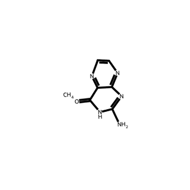 C.Nc1nc2nccnc2c(=O)[nH]1